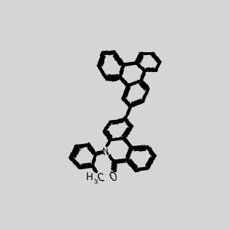 Cc1ccccc1-n1c(=O)c2ccccc2c2cc(-c3ccc4c5ccccc5c5ccccc5c4c3)ccc21